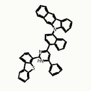 C1=C(c2ccccc2)NC(c2cccc3c2sc2ccccc23)N=C1c1ccc(-n2c3ccccc3c3cc4ccccc4cc32)c2ccccc12